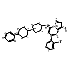 Clc1ccccc1-c1cc(NC2CCN(C3CCC(c4ccccc4)CC3)CC2)n2ncc(Br)c2n1